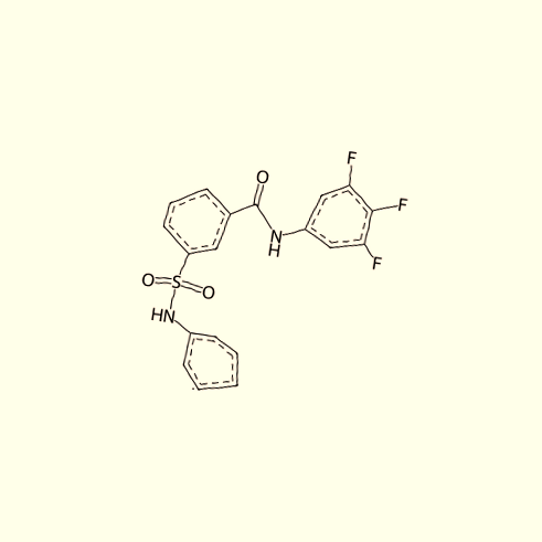 O=C(Nc1cc(F)c(F)c(F)c1)c1cccc(S(=O)(=O)Nc2c[c]ccc2)c1